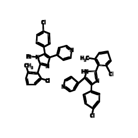 CCn1c(-c2c(C)cccc2Cl)nc(-c2ccncc2)c1-c1ccc(Cl)cc1.Cc1cccc(Cl)c1-c1nc(-c2ccc(Cl)cc2)c(-c2ccncc2)[nH]1